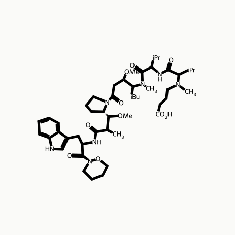 CCC(C)C(C(CC(=O)N1CCC[C@H]1C(OC)C(C)C(=O)NC(Cc1c[nH]c2ccccc12)C(=O)N1CCCCO1)OC)N(C)C(=O)C(NC(=O)C(C(C)C)N(C)CCCC(=O)O)C(C)C